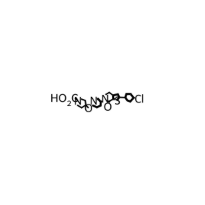 O=C(O)N1CCC(Oc2ccc(N3CCc4cc(-c5ccc(Cl)cc5)sc4C3=O)cn2)CC1